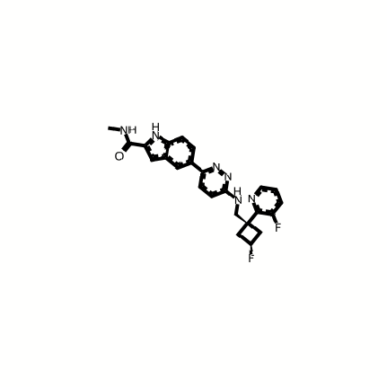 CNC(=O)c1cc2cc(-c3ccc(NC[C@]4(c5ncccc5F)C[C@H](F)C4)nn3)ccc2[nH]1